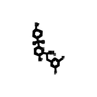 NC(Cc1cc(F)cc(F)c1)c1nc(S(=O)(=O)c2ccc(Br)cc2)ccc1Br